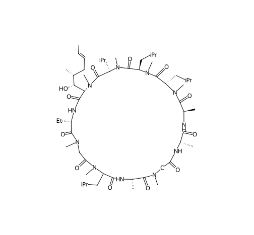 C/C=C/C[C@@H](C)[C@@H](O)[C@H]1C(=O)N[C@@H](CC)C(=O)N(C)CC(=O)N(C)C(CC(C)C)C(=O)N[C@@H](C)C(=O)N(C)CC(=O)N[C@@H](C)C(=O)N[C@H](C)C(=O)N(C)[C@@H](CC(C)C)C(=O)N(C)[C@H](CC(C)C)C(=O)N(C)[C@@H](C(C)C)C(=O)N1C